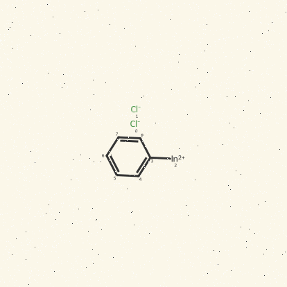 [Cl-].[Cl-].[In+2][c]1ccccc1